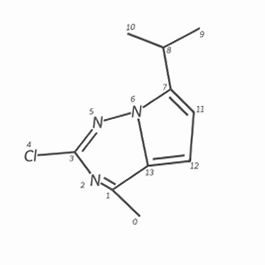 Cc1nc(Cl)nn2c(C(C)C)ccc12